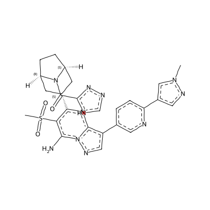 Cn1cc(-c2ccc(-c3cnn4c(N)c(S(C)(=O)=O)c([C@@H]5C[C@H]6CC[C@@H](C5)N6C(=O)c5nnc[nH]5)nc34)cn2)cn1